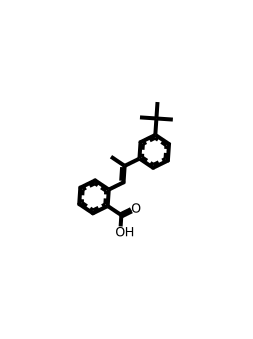 CC(=Cc1ccccc1C(=O)O)c1cccc(C(C)(C)C)c1